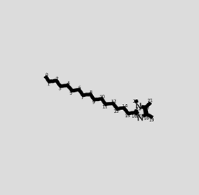 CCCCCCCCCCCCCCCCc1nc(C)c(C)n1C